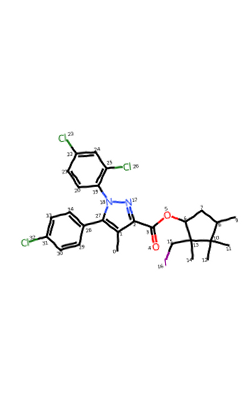 Cc1c(C(=O)OC2CC(C)C(C)(C)C2(C)CI)nn(-c2ccc(Cl)cc2Cl)c1-c1ccc(Cl)cc1